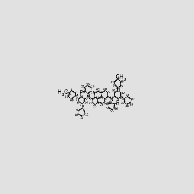 Cc1ccc(-c2cc(-c3ccccc3)cc(N(c3ccccc3F)c3ccc4ccc5c(N(c6cc(-c7ccccc7)cc(-c7ccc(C)cc7)c6)c6ccccc6F)ccc6ccc3c4c65)c2)cc1